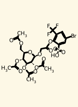 CC(=O)OC[C@H]1O[C@@H](OCC(=O)Oc2c(C(F)(F)F)cc(Br)cc2S(=O)(=O)O)[C@H](OC(C)=O)[C@@H](OC(C)=O)[C@@H]1OC(C)=O